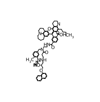 CCCCc1cc2c(c3c1=NCCC3)Oc1c(cc3c4c1CCCN4CCCC3)C=2c1cc(C(=O)NCCN(Cc2ccc(C)c(N=[N+]=[N-])c2)C(=O)CCNC[C@H](O)COc2cccc3ccccc23)ccc1C(=O)O